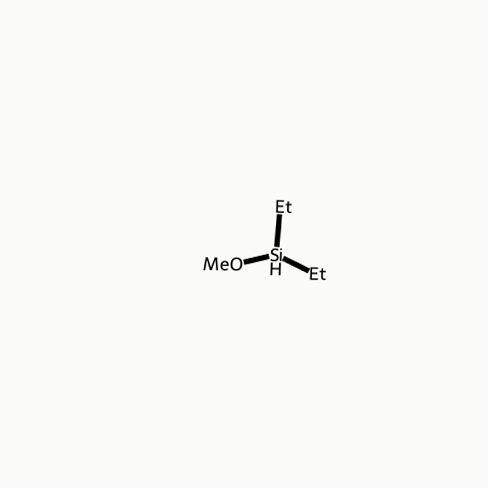 CC[SiH](CC)OC